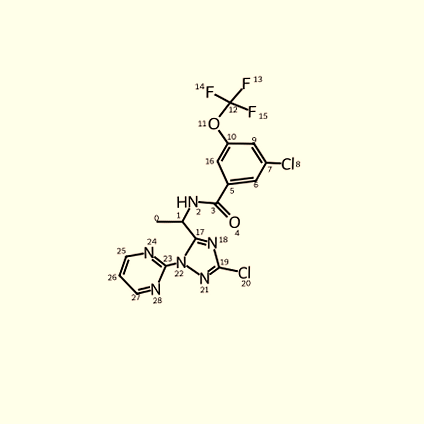 CC(NC(=O)c1cc(Cl)cc(OC(F)(F)F)c1)c1nc(Cl)nn1-c1ncccn1